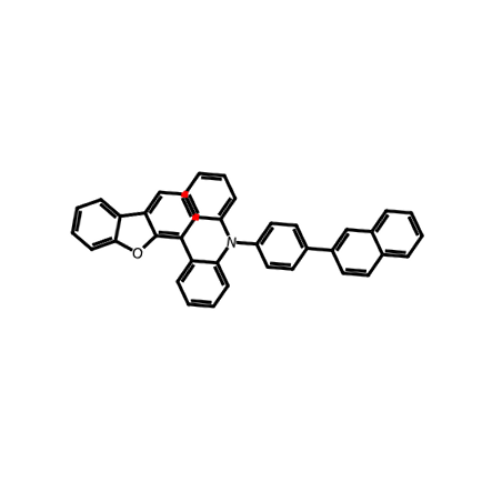 c1ccc(N(c2ccc(-c3ccc4ccccc4c3)cc2)c2ccccc2-c2cccc3c2oc2ccccc23)cc1